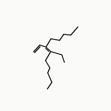 C=CC(CCCCC)=C(CC)CCCCC